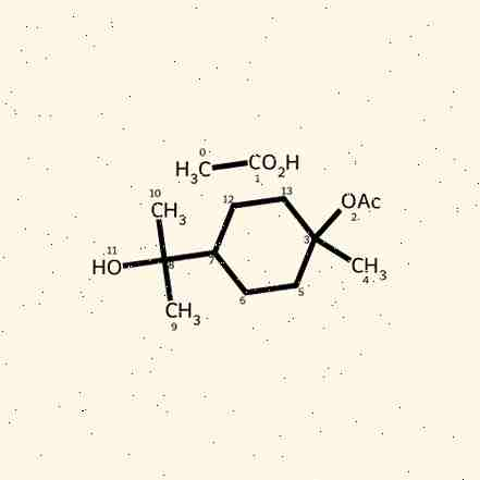 CC(=O)O.CC(=O)OC1(C)CCC(C(C)(C)O)CC1